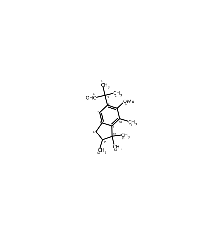 COc1c(C(C)(C)C=O)cc2c(c1C)C(C)(C)C(C)C2